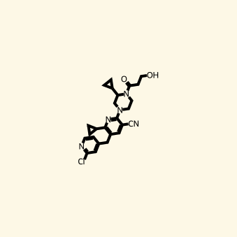 N#Cc1cc(Cc2ccnc(Cl)c2)c(C2CC2)nc1N1CCN(C(=O)CCO)C(C2CC2)C1